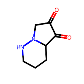 O=C1CN2NCCCC2C1=O